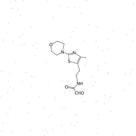 Cc1nc(N2CCOCC2)sc1CCNC(=O)C=O